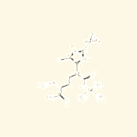 CC/C(=C\CN(C(=O)OC(C)(C)C)c1nc(C2CC2)sc1I)C(=O)O